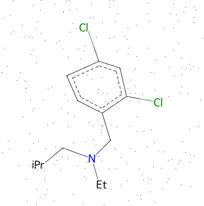 CCN(Cc1ccc(Cl)cc1Cl)CC(C)C